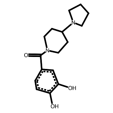 O=C(c1ccc(O)c(O)c1)N1CCC(N2CCCC2)CC1